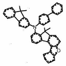 CC1(C)c2ccccc2-c2ccc(N(c3ccc(-c4ccccc4)cc3)c3cccc4c3C(C)(C)c3ccc5oc6ccccc6c5c3-4)cc21